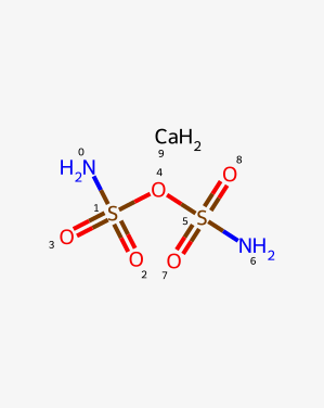 NS(=O)(=O)OS(N)(=O)=O.[CaH2]